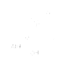 CCP(=O)(CC)OO.[AlH3]